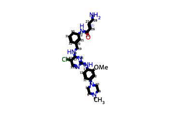 COC1C=C(N2CCN(C)CC2)C=CC1NC1=NC(NCC2=CC(NC(=O)/C=C/CN)CC=C2)C(Cl)C=N1